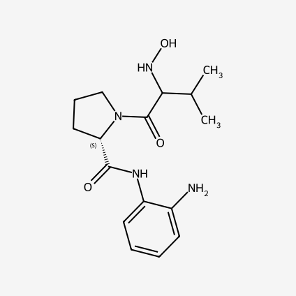 CC(C)C(NO)C(=O)N1CCC[C@H]1C(=O)Nc1ccccc1N